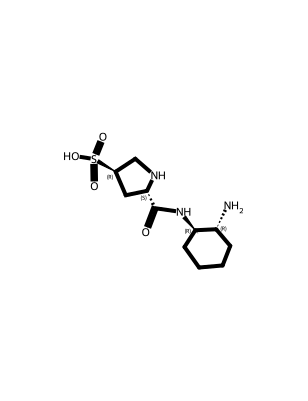 N[C@@H]1CCCC[C@H]1NC(=O)[C@@H]1C[C@@H](S(=O)(=O)O)CN1